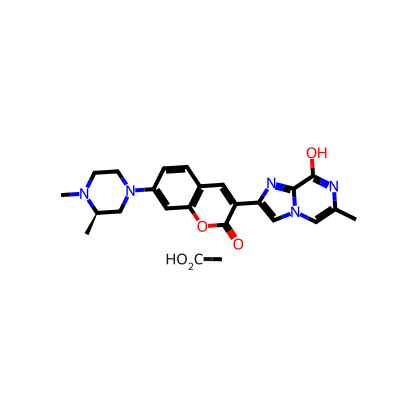 CC(=O)O.Cc1cn2cc(-c3cc4ccc(N5CCN(C)[C@H](C)C5)cc4oc3=O)nc2c(O)n1